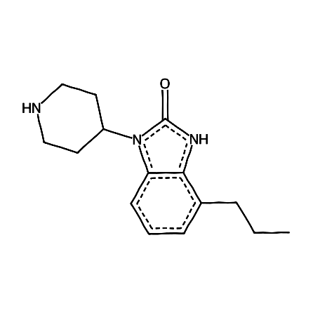 CCCc1cccc2c1[nH]c(=O)n2C1CCNCC1